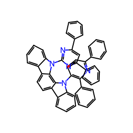 c1ccc(-c2cc(-c3ccccc3)nc(-n3c4ccccc4c4ccc5c6ccccc6n(-c6ccc(-c7ccccc7)nc6-c6ccccc6)c5c43)n2)cc1